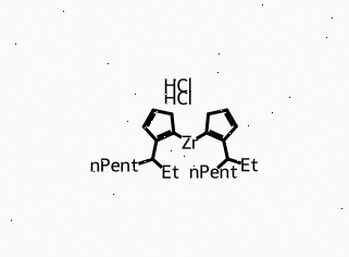 CCCCCC(CC)C1=[C]([Zr][C]2=C(C(CC)CCCCC)C=CC2)CC=C1.Cl.Cl